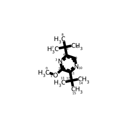 COc1nc(C(C)(C)C)cnc1C(C)(C)C